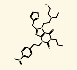 CCCn1c(=O)c2c(nc(Cc3cc[nH]n3)n2CCN(CC)CCO)n(CCc2ccc([N+](=O)[O-])cc2)c1=O